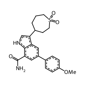 COc1ccc(-c2cc(C(N)=O)c3[nH]cc(C4CCCS(=O)(=O)CC4)c3c2)cc1